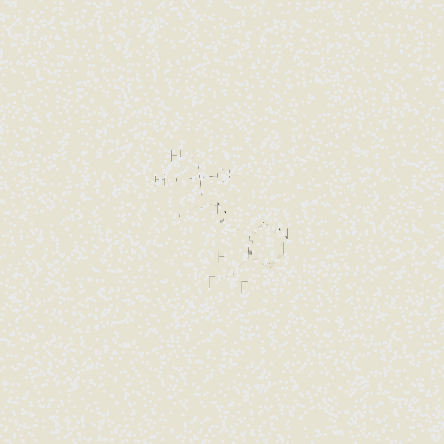 CC(C)(C)[S+]([O-])N=Cc1cnccc1C(F)(F)F